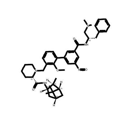 COc1c(CN2CCCC[C@H]2C(=O)N[C@H]2C[C@H]3C[C@@H]([C@@H]2C)C3(C)C)cccc1-c1cc(N=O)cc(C(=O)N[C@@H](Cc2ccccc2)CN(C)C)c1